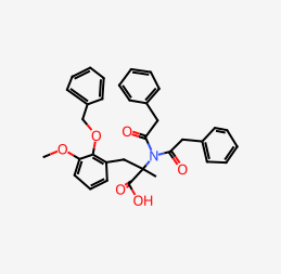 COc1cccc(CC(C)(C(=O)O)N(C(=O)Cc2ccccc2)C(=O)Cc2ccccc2)c1OCc1ccccc1